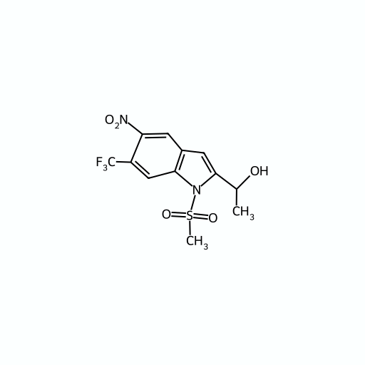 CC(O)c1cc2cc([N+](=O)[O-])c(C(F)(F)F)cc2n1S(C)(=O)=O